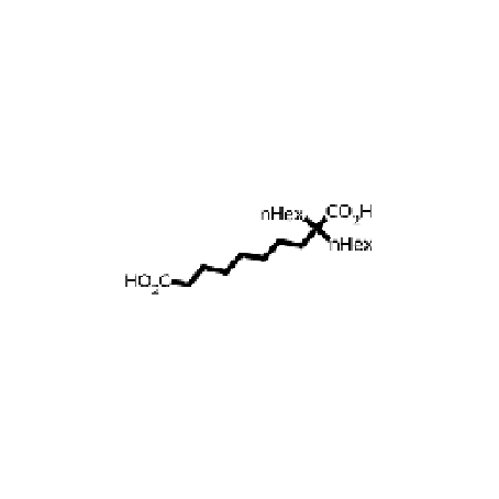 CCCCCCC(CCCCCC)(CCCCCCCC(=O)O)C(=O)O